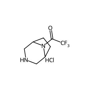 Cl.O=C(N1C2CCC1CNC2)C(F)(F)F